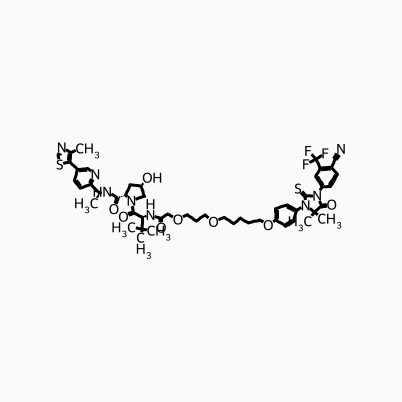 Cc1ncsc1-c1ccc([C@H](C)NC(=O)[C@@H]2C[C@@H](O)CN2C(=O)[C@@H](NC(=O)COCCCOCCCCCOc2ccc(N3C(=S)N(c4ccc(C#N)c(C(F)(F)F)c4)C(=O)C3(C)C)cc2)C(C)(C)C)nc1